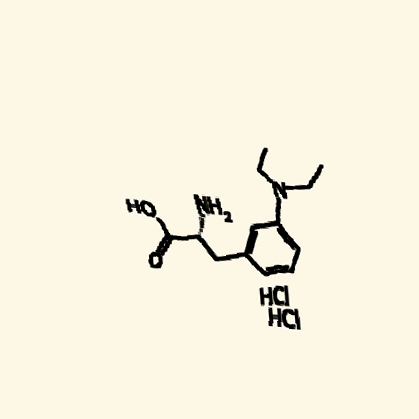 CCN(CC)c1cccc(C[C@@H](N)C(=O)O)c1.Cl.Cl